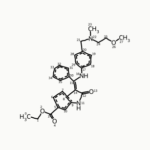 CCOC(=O)c1ccc2c(c1)NC(=O)/C2=C(\Nc1ccc(CN(C)CCOC)cc1)c1ccccc1